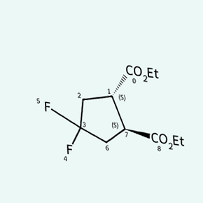 CCOC(=O)[C@H]1CC(F)(F)C[C@@H]1C(=O)OCC